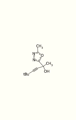 Cc1nnc(C(C)(O)C#CC(C)(C)C)o1